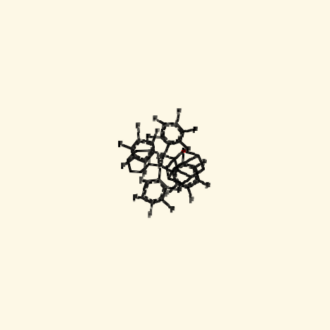 Fc1c(F)c(F)c([PH](c2c(F)c(F)c(F)c(F)c2F)(C2CCCCC2)[PH](c2c(F)c(F)c(F)c(F)c2F)(c2c(F)c(F)c(F)c(F)c2F)C23CC4CC(CC(C4)C2)C3)c(F)c1F